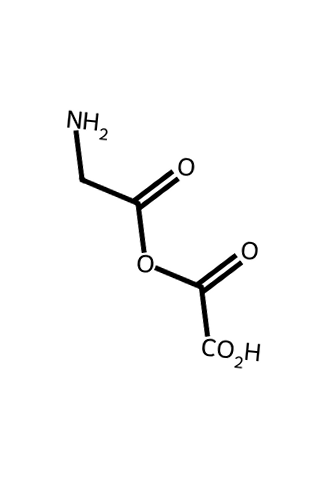 NCC(=O)OC(=O)C(=O)O